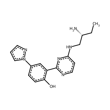 CC[C@@H](N)CNc1ccnc(-c2cc(-n3cccn3)ccc2O)n1